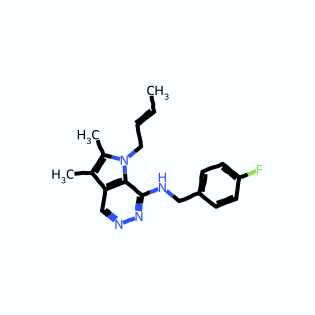 CC=CCn1c(C)c(C)c2cnnc(NCc3ccc(F)cc3)c21